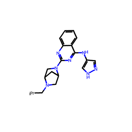 CC(C)CN1CC2CC1CN2c1nc(Nc2cn[nH]c2)c2ccccc2n1